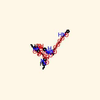 C/C=C/C1=CN2C(=O)c3cc(OC)c(OCCCOc4cc5c(cc4OC)C(=O)N4C=C(/C=C/C)C[C@H]4[C@H](O)N5C(=O)OCc4ccc(NC(=O)[C@H](C)NC(=O)[C@@H](NC(=O)CCOCCOCCOCCOCCNC(=O)CC5CCCC5)C(C)C)cc4)cc3N=C[C@@H]2C1